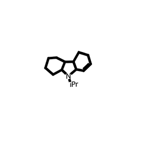 CC(C)N1C2C=CCCC2C2CCCCC21